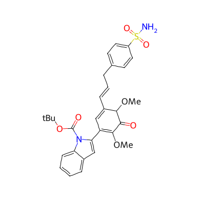 COC1=C(c2cc3ccccc3n2C(=O)OC(C)(C)C)C=C(/C=C/Cc2ccc(S(N)(=O)=O)cc2)C(OC)C1=O